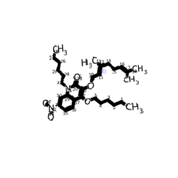 CCCCCCOc1c(OC/C=C(\C)CCC=C(C)C)c(=O)n(CCCCCC)c2cc([N+](=O)[O-])ccc12